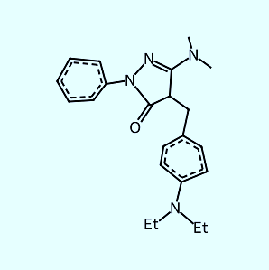 CCN(CC)c1ccc(CC2C(=O)N(c3ccccc3)N=C2N(C)C)cc1